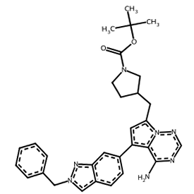 CC(C)(C)OC(=O)N1CCC(Cc2cc(-c3ccc4cn(Cc5ccccc5)nc4c3)c3c(N)ncnn23)C1